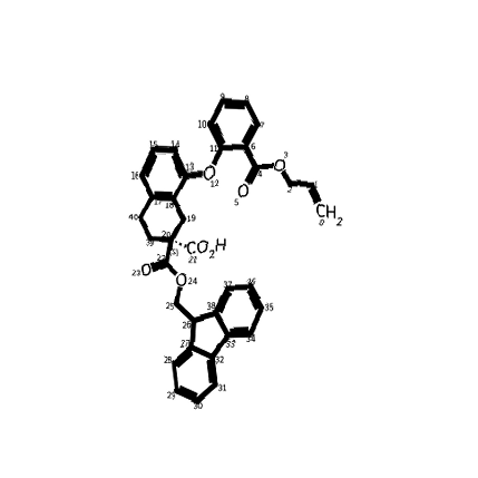 C=CCOC(=O)c1ccccc1Oc1cccc2c1C[C@@](C(=O)O)(C(=O)OCC1c3ccccc3-c3ccccc31)CC2